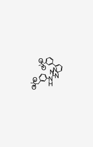 CS(=O)(=O)Cc1cccc(Nc2nc3cccc(-c4cccc(S(C)(=O)=O)c4)n3n2)c1